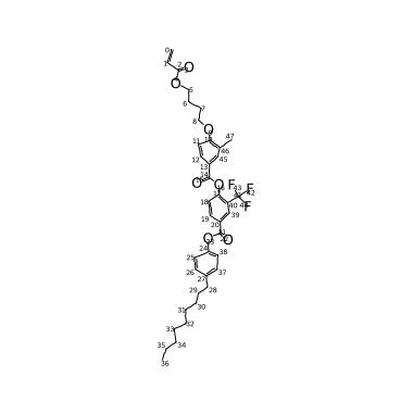 C=CC(=O)OCCCCOc1ccc(C(=O)Oc2ccc(C(=O)Oc3ccc(CCCCCCCCC)cc3)cc2C(F)(F)F)cc1C